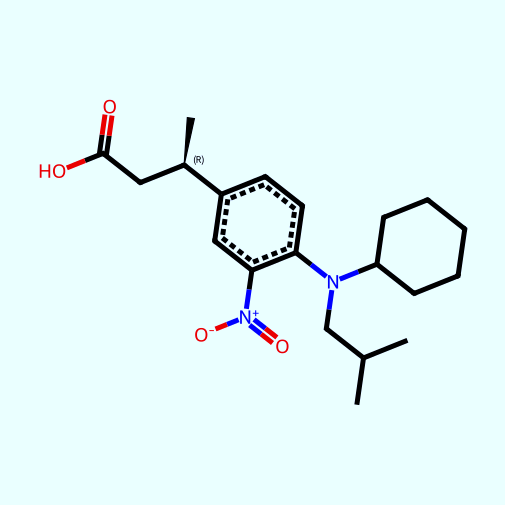 CC(C)CN(c1ccc([C@H](C)CC(=O)O)cc1[N+](=O)[O-])C1CCCCC1